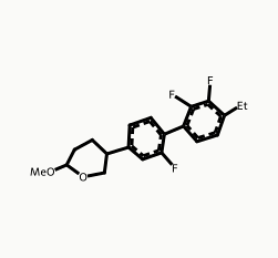 CCc1ccc(-c2ccc(C3CCC(OC)OC3)cc2F)c(F)c1F